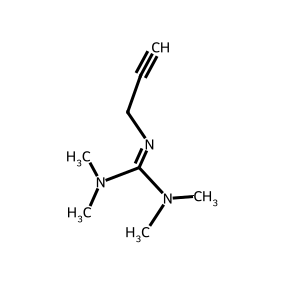 C#CCN=C(N(C)C)N(C)C